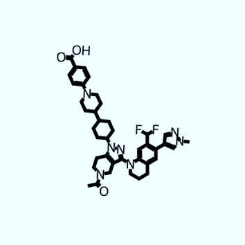 CC(=O)N1CCc2c(c(N3CCCc4cc(-c5cnn(C)c5)c(C(F)F)cc43)nn2C2CCC(C3CCN(c4ccc(C(=O)O)cc4)CC3)CC2)C1